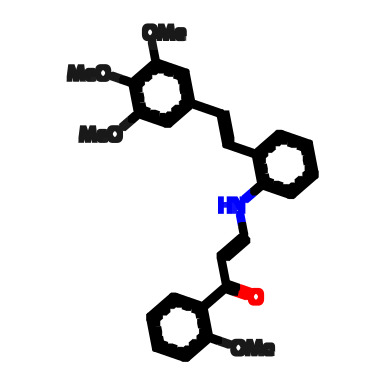 COc1ccccc1C(=O)C=CNc1ccccc1C=Cc1cc(OC)c(OC)c(OC)c1